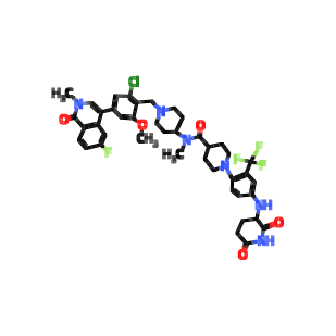 COc1cc(-c2cn(C)c(=O)c3ccc(F)cc23)cc(Cl)c1CN1CCC(N(C)C(=O)C2CCN(c3ccc(NC4CCC(=O)NC4=O)cc3C(F)(F)F)CC2)CC1